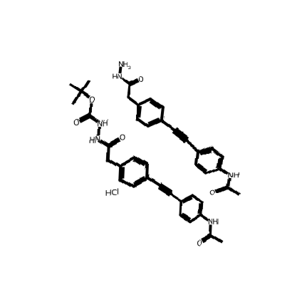 CC(=O)Nc1ccc(C#Cc2ccc(CC(=O)NN)cc2)cc1.CC(=O)Nc1ccc(C#Cc2ccc(CC(=O)NNC(=O)OC(C)(C)C)cc2)cc1.Cl